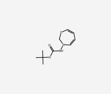 CC(C)(C)OC(=O)NN1C=CC=COC1